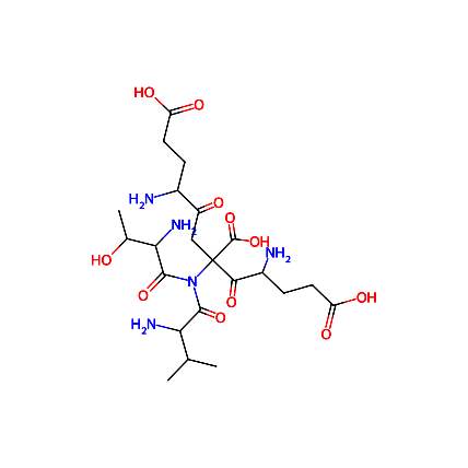 CC(C)C(N)C(=O)N(C(=O)C(N)C(C)O)C(CC(=O)C(N)CCC(=O)O)(C(=O)O)C(=O)C(N)CCC(=O)O